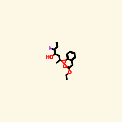 C=C/C(I)=C(/O)CC(C)Oc1ccccc1CC(=O)OCC